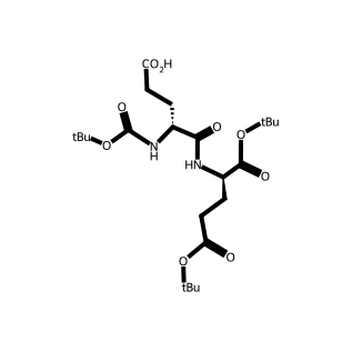 CC(C)(C)OC(=O)CC[C@@H](NC(=O)[C@@H](CCC(=O)O)NC(=O)OC(C)(C)C)C(=O)OC(C)(C)C